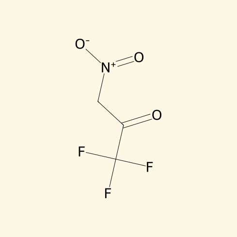 O=C(C[N+](=O)[O-])C(F)(F)F